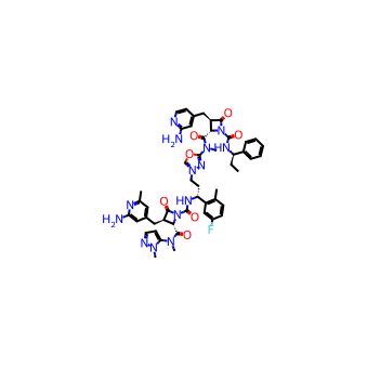 CC[C@@H](NC(=O)N1C(=O)[C@H](Cc2ccnc(N)c2)[C@H]1C(=O)N(C)c1n[n+](CC[C@@H](NC(=O)N2C(=O)[C@H](Cc3cc(C)nc(N)c3)[C@H]2C(=O)N(C)c2ccnn2C)c2cc(F)ccc2C)co1)c1ccccc1